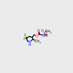 CC1NCC(F)(F)CC1COC(=O)NS(C)(=O)=O